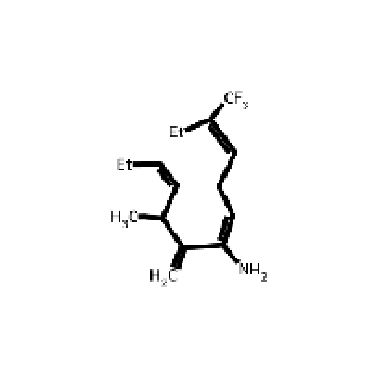 C=C(/C(N)=C\C/C=C(\CC)C(F)(F)F)C(C)/C=C\CC